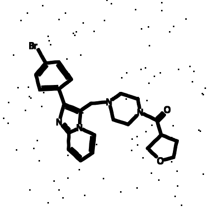 O=C(C1CCOC1)N1CCN(Cc2c(-c3ccc(Br)cc3)nc3ccccn23)CC1